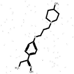 CCC(=NO)c1ccc(OCCCN2CCC(C)CC2)cc1